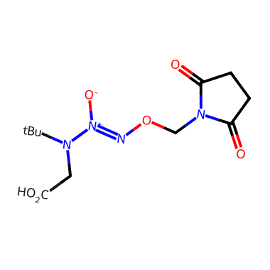 CC(C)(C)N(CC(=O)O)[N+]([O-])=NOCN1C(=O)CCC1=O